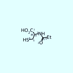 CCC(=O)N[C@@H](CS)C(=O)O